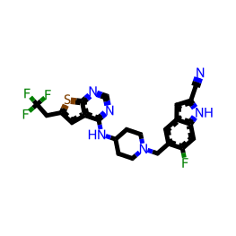 N#Cc1cc2cc(CN3CCC(Nc4ncnc5sc(CC(F)(F)F)cc45)CC3)c(F)cc2[nH]1